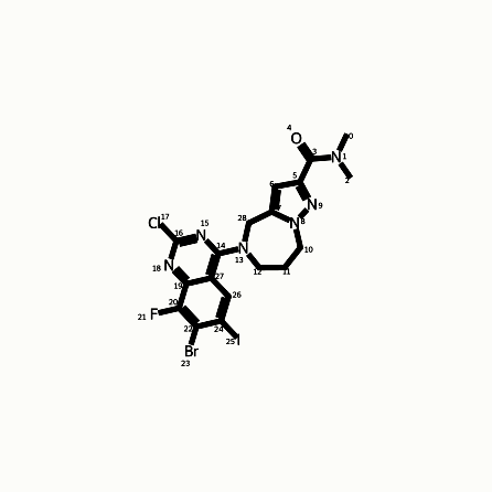 CN(C)C(=O)c1cc2n(n1)CCCN(c1nc(Cl)nc3c(F)c(Br)c(I)cc13)C2